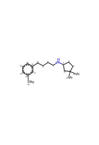 CCCC1(CCC)CCC(NCCCCc2cccc(SC)c2)C1